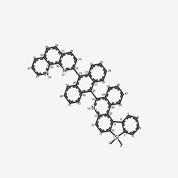 C[Si]1(C)c2ccccc2-c2c1ccc1nc(-c3c4ccccc4c(-c4ccc5ccc6cccnc6c5n4)c4ccccc34)c3ccccc3c21